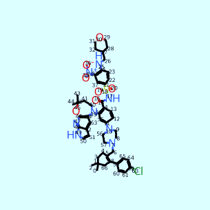 CC1(C)CCC(CN2CCN(c3ccc(C(=O)NS(=O)(=O)c4ccc(NCC5CCOCC5)c([N+](=O)[O-])c4)c(N4CCC(C)(C)Oc5nc6[nH]ccc6cc54)c3)CC2)=C(c2ccc(Cl)cc2)C1